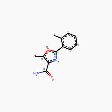 Cc1ccccc1-c1nc(C(N)=O)c(C)o1